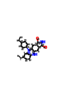 CCc1ccc(Nc2cc3c(cc2Nc2ccc(CC)cc2)C(=O)NC3=O)cc1